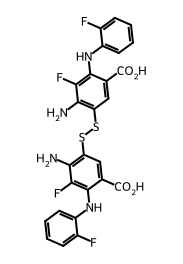 Nc1c(SSc2cc(C(=O)O)c(Nc3ccccc3F)c(F)c2N)cc(C(=O)O)c(Nc2ccccc2F)c1F